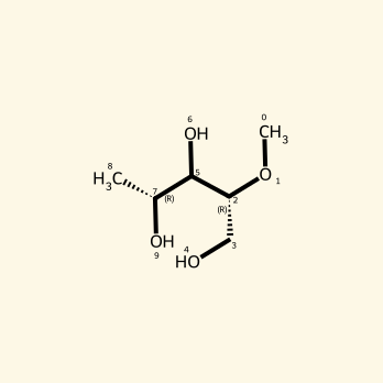 CO[C@H](CO)C(O)[C@@H](C)O